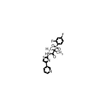 CC(C)(C(=O)Nc1nc(-c2cccnc2)cs1)S(=O)(=O)c1ccc(F)cc1F